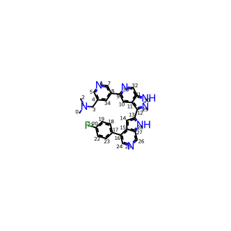 CN(C)Cc1cncc(-c2cc3c(-c4cc5c(-c6ccc(F)cc6)cncc5[nH]4)n[nH]c3cn2)c1